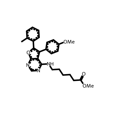 COC(=O)CCCCCNc1ncnc2oc(-c3ccccc3C)c(-c3ccc(OC)cc3)c12